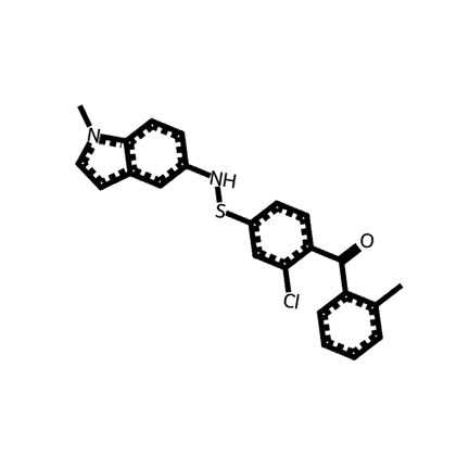 Cc1ccccc1C(=O)c1ccc(SNc2ccc3c(ccn3C)c2)cc1Cl